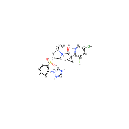 O=C(O)[C@@H]1C[C@@H](S(=O)(=O)c2ccccc2-n2cncn2)CN1C(=O)C1(c2ncc(Cl)cc2F)CC1